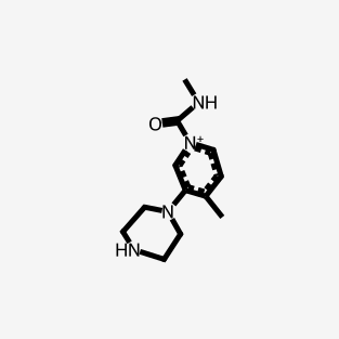 CNC(=O)[n+]1ccc(C)c(N2CCNCC2)c1